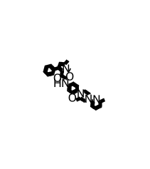 Cc1cccc(N2CCN3c4ccc(NC(=O)C(=O)c5c(-c6ccccc6)cc(C)n5C)cc4OCC3C2)n1